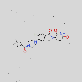 CC1(C)CC(C(=O)N2CCN(c3cc4c(cc3F)C(=O)N(C3CCC(=O)NC3=O)C4)CC2)C1